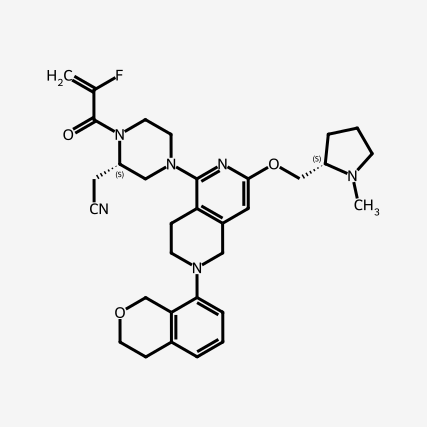 C=C(F)C(=O)N1CCN(c2nc(OC[C@@H]3CCCN3C)cc3c2CCN(c2cccc4c2COCC4)C3)C[C@@H]1CC#N